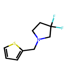 FC1(F)CCN(Cc2cccs2)C1